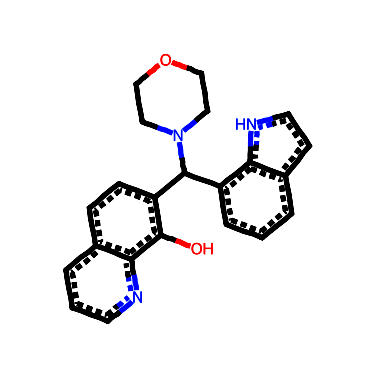 Oc1c(C(c2cccc3cc[nH]c23)N2CCOCC2)ccc2cccnc12